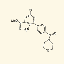 COC(=O)c1cc(Br)nc(-c2ccc(C(=O)N3CCOCC3)cc2)c1N